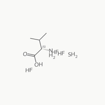 CC(C)[C@H](N)C(=O)O.F.F.F.S